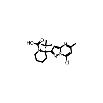 Cc1cc(Cl)n2nc([C@@]3(C(C)(C)C)CCCCN3C(=O)O)cc2n1